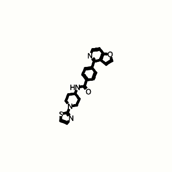 O=C(NC1CCN(c2nccs2)CC1)c1ccc(-c2nccc3occc23)cc1